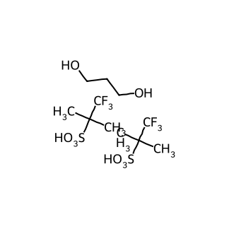 CC(C)(C(F)(F)F)S(=O)(=O)O.CC(C)(C(F)(F)F)S(=O)(=O)O.OCCCO